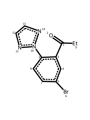 CCC(=O)c1cc(Br)ccc1-n1nccn1